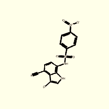 N#Cc1ccc(NS(=O)(=O)c2ccc([N+](=O)[O-])cc2)c2[nH]cc(Cl)c12